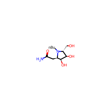 CCCCN1[C@H](CC(N)=O)[C@H](O)[C@H](O)[C@H]1CO